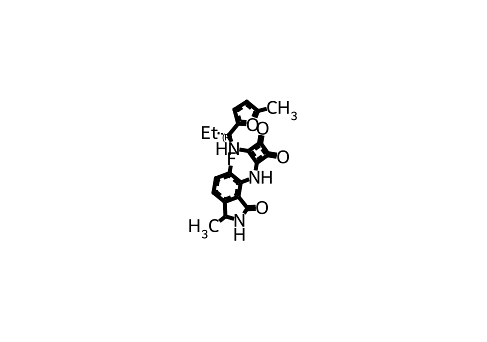 CC[C@@H](Nc1c(Nc2c(F)ccc3c2C(=O)NC3C)c(=O)c1=O)c1ccc(C)o1